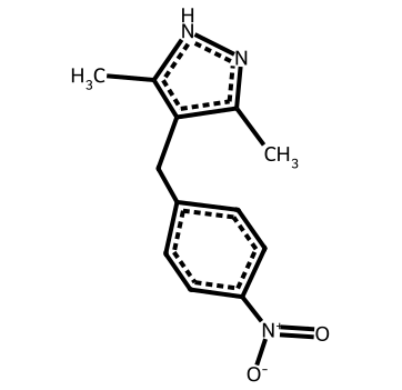 Cc1n[nH]c(C)c1Cc1ccc([N+](=O)[O-])cc1